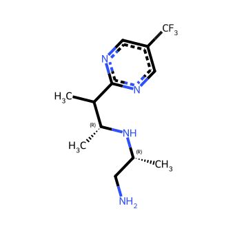 CC(c1ncc(C(F)(F)F)cn1)[C@@H](C)N[C@H](C)CN